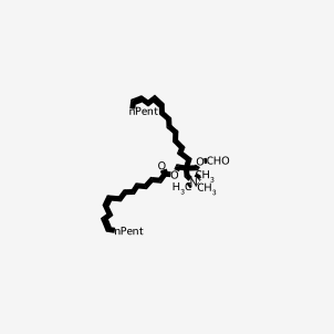 CCCCC/C=C\C/C=C\CCCCCCCCC(COC=O)(COC(=O)CCCCCCC/C=C\C/C=C\CCCCC)C[N+](C)(C)C